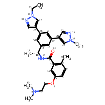 Cc1ccc(OCCN(C)C)cc1C(=O)N[C@H](C)c1cc(-c2cnn(C)c2)cc(-c2cnn(CC#N)c2)c1